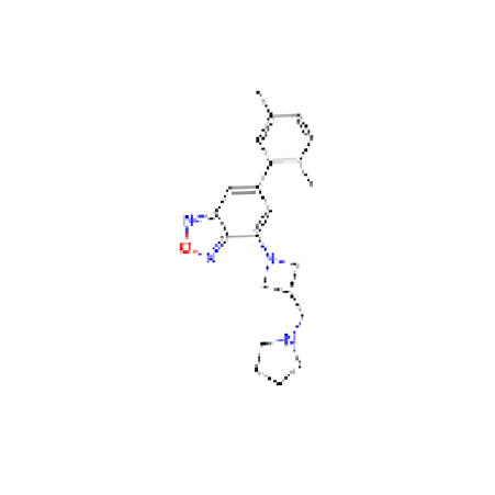 Cc1ccc(C)c(-c2cc(N3CC(CN4CCCC4)C3)c3nonc3c2)c1